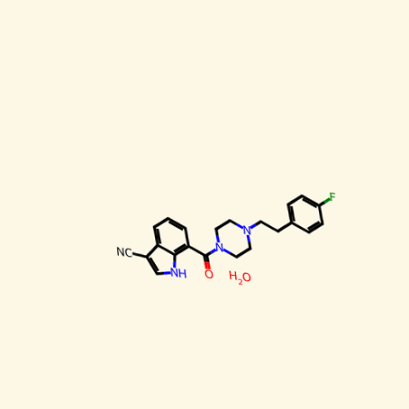 N#Cc1c[nH]c2c(C(=O)N3CCN(CCc4ccc(F)cc4)CC3)cccc12.O